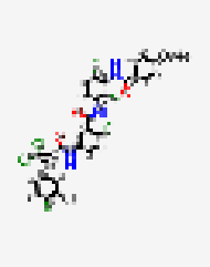 COc1ccc(C(=O)Nc2c(F)ccc(NC(=O)c3cc(NC(=O)[C@H]4[C@H](c5ccc(F)c(C(F)(F)F)c5)C4(Cl)Cl)ccc3Cl)c2F)cc1